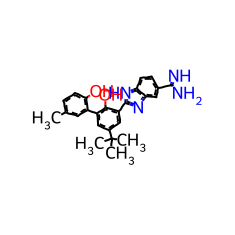 Cc1ccc(O)c(-c2cc(C(C)(C)C)cc(-c3nc4cc(C(=N)N)ccc4[nH]3)c2O)c1